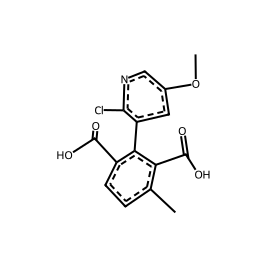 COc1cnc(Cl)c(-c2c(C(=O)O)ccc(C)c2C(=O)O)c1